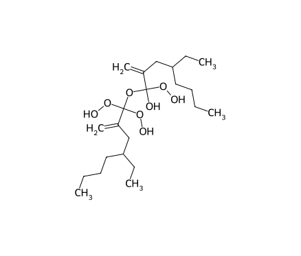 C=C(CC(CC)CCCC)C(O)(OO)OC(OO)(OO)C(=C)CC(CC)CCCC